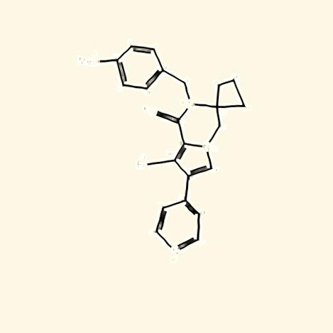 COc1ccc(CN2C(=O)c3c(Br)c(-c4ccncc4)cn3CC23CCC3)cc1